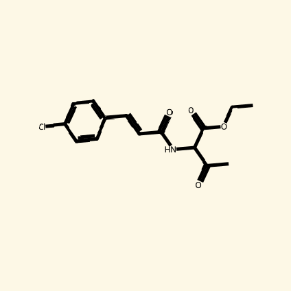 CCOC(=O)C(NC(=O)C=Cc1ccc(Cl)cc1)C(C)=O